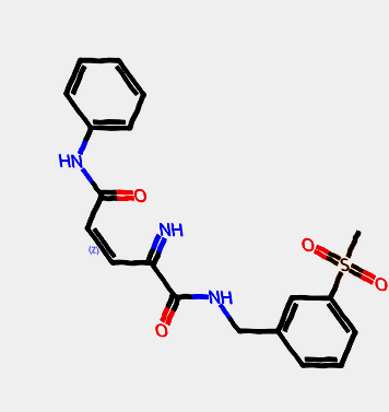 CS(=O)(=O)c1cccc(CNC(=O)C(=N)/C=C\C(=O)Nc2ccccc2)c1